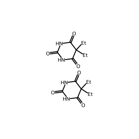 CCC1(CC)C(=O)NC(=O)NC1=O.CCC1(CC)C(=O)NC(=O)NC1=O